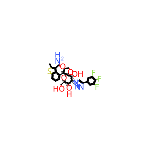 Cc1sc2cccc([C@H]3CCO[C@]34O[C@H](CO)[C@H](O)[C@H](n3cc(-c5cc(F)c(F)c(F)c5)nn3)[C@H]4O)c2c1C(N)=O